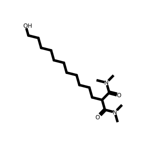 CN(C)C(=O)C(CCCCCCCCCCCO)C(=O)N(C)C